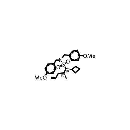 C=CC[C@H](C)[C@H](C1CCC1)S(=O)(=O)N(Cc1ccc(OC)cc1)Cc1ccc(OC)cc1